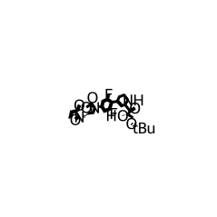 CC(C)(C)OC[C@H](O)C(=O)C1C=C(c2c(F)cc(N3C[C@H](Cn4occc4=O)OC3=O)cc2F)CCN1